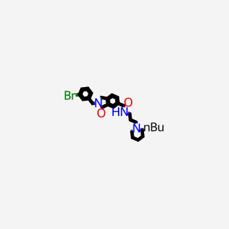 CCCCC1CCCCN1CCCNC(=O)c1ccc2c(c1)C(=O)N(Cc1cccc(Br)c1)C2